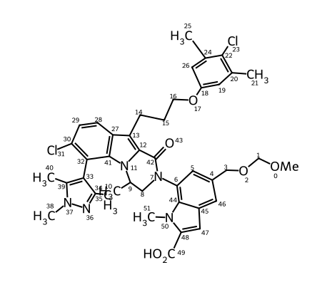 COCOCc1cc(N2CC(C)n3c(c(CCCOc4cc(C)c(Cl)c(C)c4)c4ccc(Cl)c(-c5c(C)nn(C)c5C)c43)C2=O)c2c(c1)cc(C(=O)O)n2C